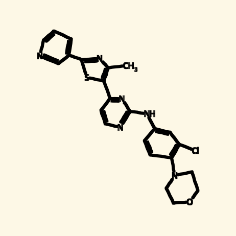 Cc1nc(-c2cccnc2)sc1-c1ccnc(Nc2ccc(N3CCOCC3)c(Cl)c2)n1